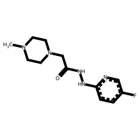 CN1CCN(CC(=O)NNc2ccc(F)cn2)CC1